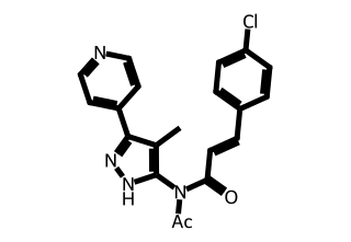 CC(=O)N(C(=O)C=Cc1ccc(Cl)cc1)c1[nH]nc(-c2ccncc2)c1C